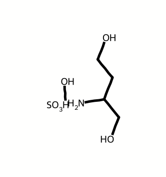 NC(CO)CCO.O=S(=O)(O)O